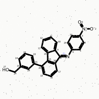 O=[N+]([O-])c1ccc(/N=C2\c3ccccc3-c3c2cccc3-c2cccc(CO)c2)cc1